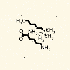 CCCCCC[P+](C)(C)C.NCCCC[C@H](N)C(=O)[O-]